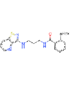 CCCCCCc1ccccc1C(=O)NCCCNc1nsc2cccnc12